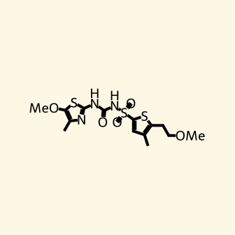 COCCc1sc(S(=O)(=O)NC(=O)Nc2nc(C)c(OC)s2)cc1C